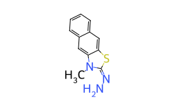 Cn1c(=NN)sc2cc3ccccc3cc21